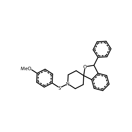 COc1ccc(SN2CCC3(CC2)OC(c2ccccc2)c2ccccc23)cc1